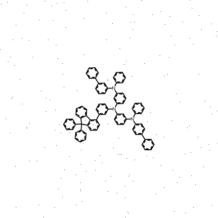 c1ccc(-c2ccc(N(c3ccccc3)c3cccc(N(c4cccc(-c5cccc6c5-c5ccccc5C6(c5ccccc5)c5ccccc5)c4)c4cccc(N(c5ccccc5)c5cccc(-c6ccccc6)c5)c4)c3)cc2)cc1